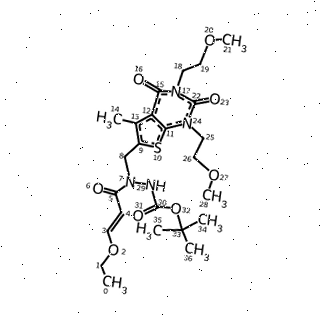 CCOC=CC(=O)N(Cc1sc2c(c1C)c(=O)n(CCOC)c(=O)n2CCOC)NC(=O)OC(C)(C)C